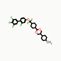 CC1CCC(C2COC(C3CCC(C(F)(F)Oc4ccc(-c5cc(F)c(F)c(F)c5)c(F)c4)CC3)OC2)CC1